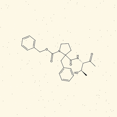 CC(=O)[C@@H](NC(=O)C1(Cc2ccccc2)CCCN1C(=O)OCc1ccccc1)[C@@H](C)O